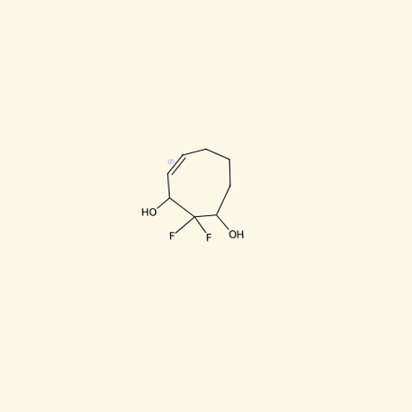 OC1/C=C\CCCC(O)C1(F)F